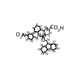 O=C(O)N1CCCC(c2ccccc2N(Cc2ccc([N+](=O)[O-])cc2)C(=O)OCC2c3ccccc3-c3ccccc32)C1